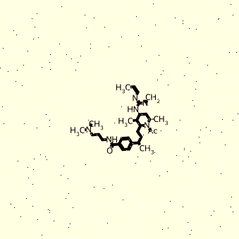 C=N/C(=N\C=C/C)N[C@@H]1C[C@H](C)N(C(C)=O)C(CCC(C)c2ccc(C(=O)NCCCN(C)C)cc2)C1C